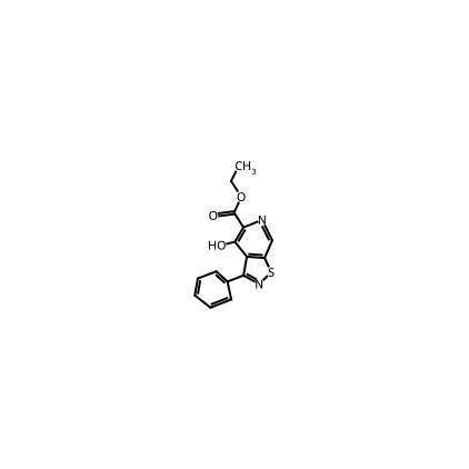 CCOC(=O)c1ncc2snc(-c3ccccc3)c2c1O